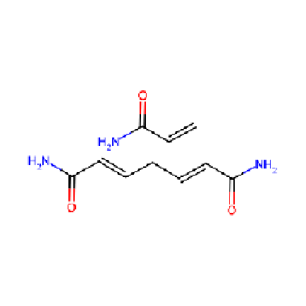 C=CC(N)=O.NC(=O)C=CCC=CC(N)=O